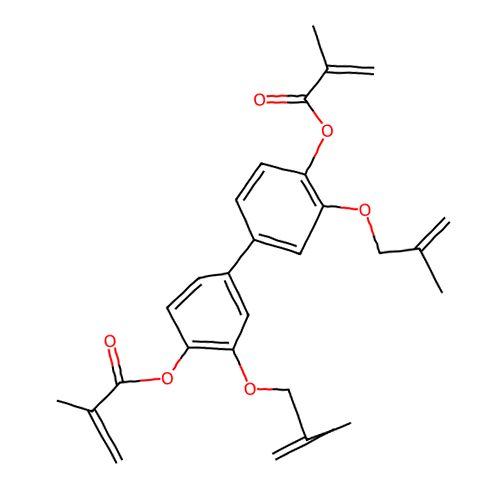 C=C(C)COc1cc(-c2ccc(OC(=O)C(=C)C)c(OCC(=C)C)c2)ccc1OC(=O)C(=C)C